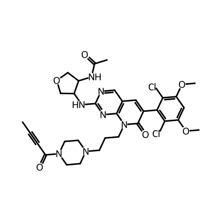 CC#CC(=O)N1CCN(CCCn2c(=O)c(-c3c(Cl)c(OC)cc(OC)c3Cl)cc3cnc(NC4COCC4NC(C)=O)nc32)CC1